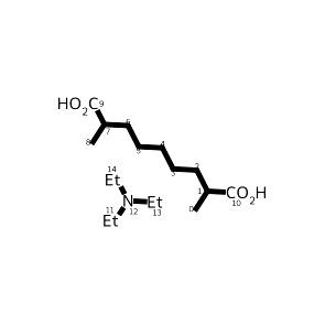 CC(CCCCCC(C)C(=O)O)C(=O)O.CCN(CC)CC